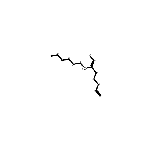 C=CCCCC(=CC)OCCCCCC